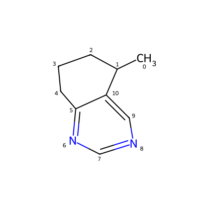 CC1CCCc2ncncc21